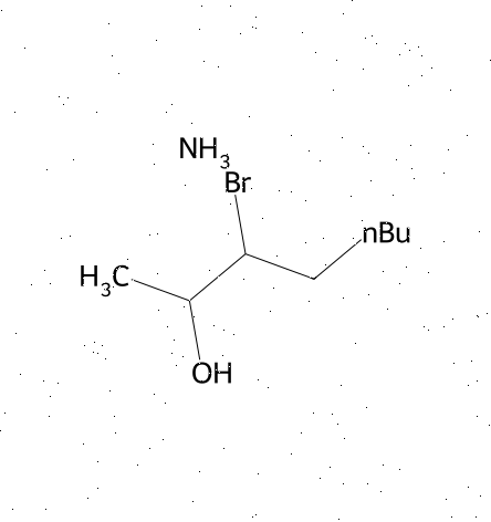 CCCCCC(Br)C(C)O.N